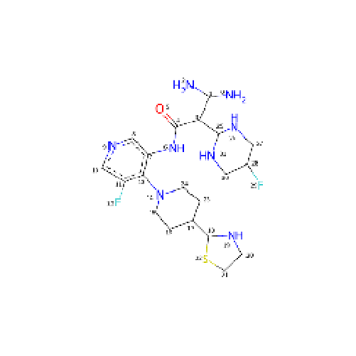 NC(N)C(C(=O)Nc1cncc(F)c1N1CCC(C2NCCS2)CC1)C1NCC(F)CN1